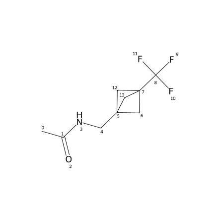 CC(=O)NCC12CC(C(F)(F)F)(C1)C2